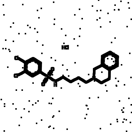 Cl.O=S(=O)(NCCCCN1CCc2ccccc2C1)c1ccc(Cl)c(Cl)c1